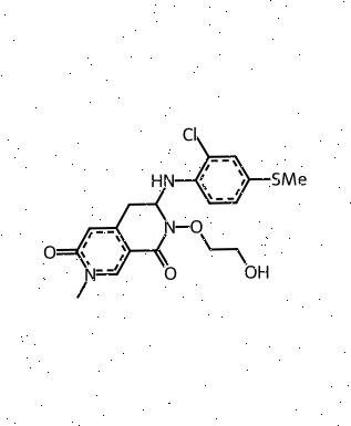 CSc1ccc(NC2Cc3cc(=O)n(C)cc3C(=O)N2OCCO)c(Cl)c1